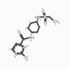 CCS(=O)(=O)N[C@H]1CC[C@H](NC(=O)c2ccnc(Cl)n2)CC1